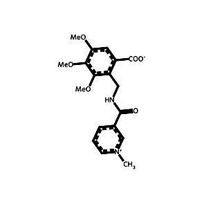 COc1cc(C(=O)[O-])c(CNC(=O)c2ccc[n+](C)c2)c(OC)c1OC